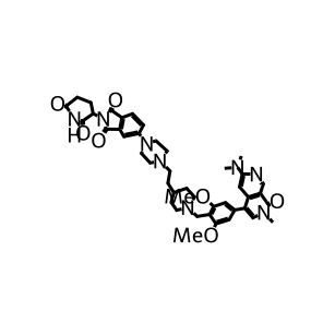 COc1cc(-c2cn(C)c(=O)c3cnc(N(C)C)cc23)cc(OC)c1CN1CCC(CCN2CCN(c3ccc4c(c3)C(=O)N(C3CCC(=O)NC3=O)C4=O)CC2)CC1